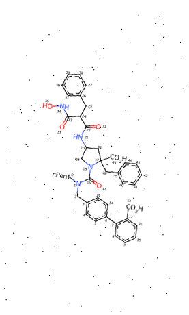 CCCCCN(Cc1ccc(-c2ccccc2C(=O)O)cc1)C(=O)N1CC(NC(=O)C(Cc2ccccc2)C(=O)NO)CC1(Cc1ccccc1)C(=O)O